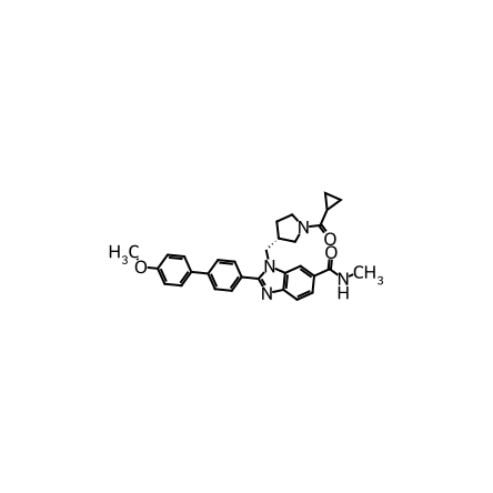 CNC(=O)c1ccc2nc(-c3ccc(-c4ccc(OC)cc4)cc3)n(C[C@@H]3CCN(C(=O)C4CC4)C3)c2c1